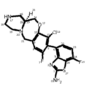 Nc1nc2c(-c3c(F)cc4c(c3Cl)OC[C@@H]3CNCCN3C4)ccc(F)c2s1